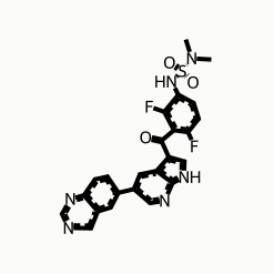 CN(C)S(=O)(=O)Nc1ccc(F)c(C(=O)c2c[nH]c3ncc(-c4ccc5ncncc5c4)cc23)c1F